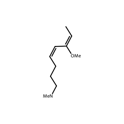 C/C=C(\C=C/CCCNC)OC